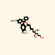 CCOC(CCCO)C(CCCCCOC(c1ccccc1)(c1ccc(OC)cc1)c1ccc(OC)cc1)OCC